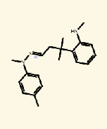 CNc1ccccc1C(C)(C)C/C=N/N(C)c1ccc(C)cc1